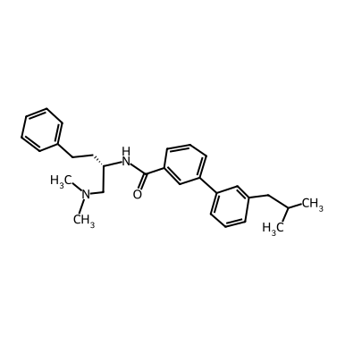 CC(C)Cc1cccc(-c2cccc(C(=O)N[C@@H](CCc3ccccc3)CN(C)C)c2)c1